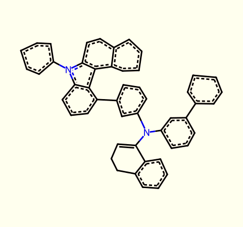 C1=C(N(c2cccc(-c3ccccc3)c2)c2cccc(-c3cccc4c3c3c5ccccc5ccc3n4-c3ccccc3)c2)c2ccccc2CC1